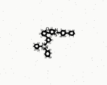 c1ccc(-c2ccc(-c3nc4cc5oc6cccc(-c7cccc(-c8nc(-c9ccccc9)nc(-c9ccccc9)n8)c7)c6c5cc4s3)cc2)cc1